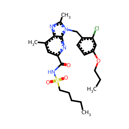 CCCCCS(=O)(=O)NC(=O)c1cc(C)c2nc(C)n(Cc3ccc(OCCC)cc3Cl)c2n1